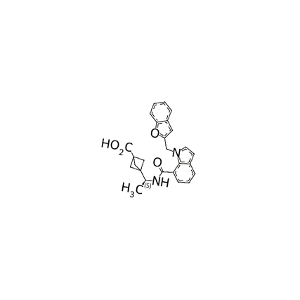 C[C@H](NC(=O)c1cccc2ccn(Cc3cc4ccccc4o3)c12)C12CC(C(=O)O)(C1)C2